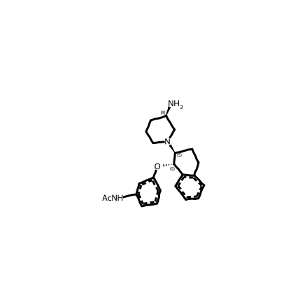 CC(=O)Nc1cccc(O[C@H]2c3ccccc3CC[C@@H]2N2CCC[C@@H](N)C2)c1